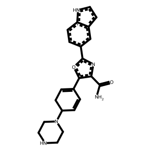 NC(=O)c1nc(-c2ccc3[nH]ccc3c2)oc1C1=CCC(N2CCNCC2)C=C1